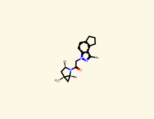 CC[C@@H]1C[C@@]2(C)C[C@H]2N1C(=O)Cn1nc(C(C)=O)c2c3c(ccc21)CCC3